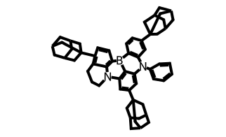 c1ccc(N2c3cc(C45CC6CC(CC(C6)C4)C5)ccc3B3c4ccc(C56CC7CC(CC(C7)C5)C6)c5c4N(CCC5)c4cc(C56CC7CC(CC(C7)C5)C6)cc2c43)cc1